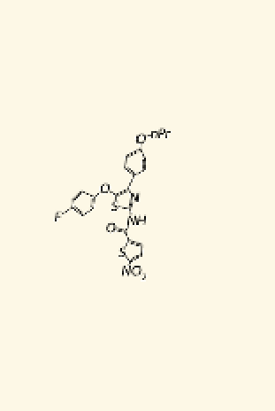 CCCOc1ccc(-c2nc(NC(=O)c3ccc([N+](=O)[O-])s3)sc2Oc2ccc(F)cc2)cc1